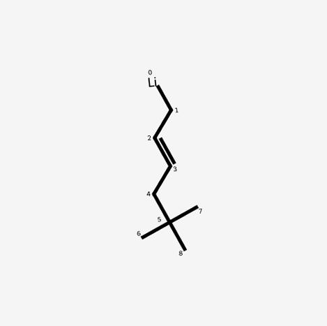 [Li][CH2]C=CCC(C)(C)C